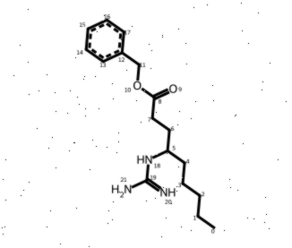 CCCCCC(CCC(=O)OCc1ccccc1)NC(=N)N